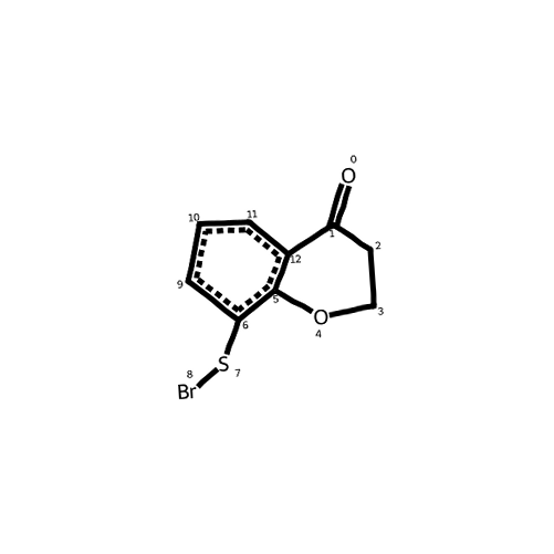 O=C1CCOc2c(SBr)cccc21